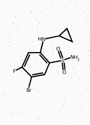 NS(=O)(=O)c1cc(Br)c(F)cc1NC1CC1